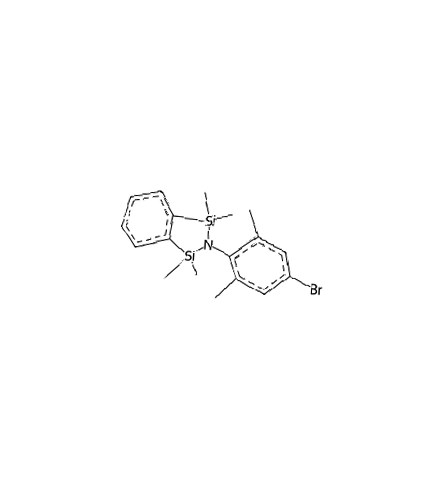 Cc1cc(Br)cc(C)c1N1[Si](C)(C)c2ccccc2[Si]1(C)C